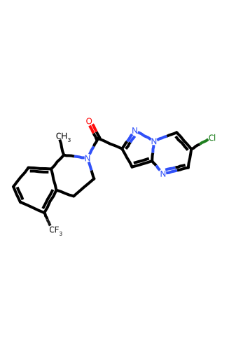 CC1c2cccc(C(F)(F)F)c2CCN1C(=O)c1cc2ncc(Cl)cn2n1